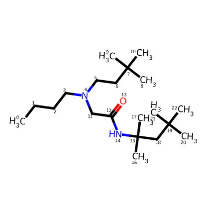 CCCCN(CCC(C)(C)C)CC(=O)NC(C)(C)CC(C)(C)C